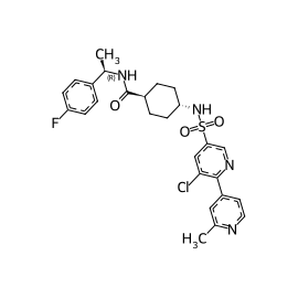 Cc1cc(-c2ncc(S(=O)(=O)N[C@H]3CC[C@H](C(=O)N[C@H](C)c4ccc(F)cc4)CC3)cc2Cl)ccn1